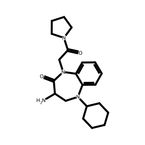 NC1CN(C2CCCCC2)c2ccccc2N(CC(=O)N2CCCC2)C1=O